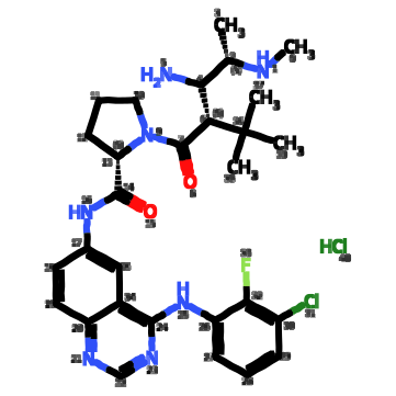 CN[C@@H](C)C(N)[C@@H](C(=O)N1CCC[C@H]1C(=O)Nc1ccc2ncnc(Nc3cccc(Cl)c3F)c2c1)C(C)(C)C.Cl